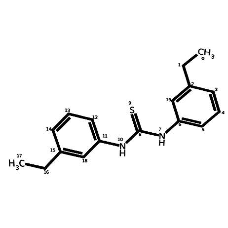 CCc1cccc(NC(=S)Nc2cccc(CC)c2)c1